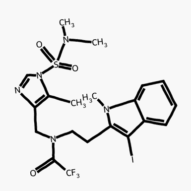 Cc1c(CN(CCc2c(I)c3ccccc3n2C)C(=O)C(F)(F)F)ncn1S(=O)(=O)N(C)C